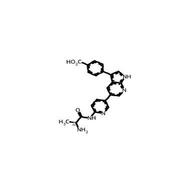 C[C@H](N)C(=O)Nc1ccc(-c2cnc3[nH]cc(-c4ccc(C(=O)O)cc4)c3c2)cn1